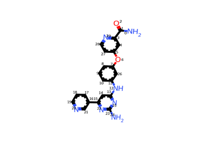 NC(=O)c1cc(Oc2cccc(Nc3cc(-c4cccnc4)nc(N)n3)c2)ccn1